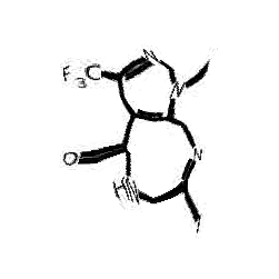 Cn1nc(C(F)(F)F)c2c(=O)[nH]c(I)nc21